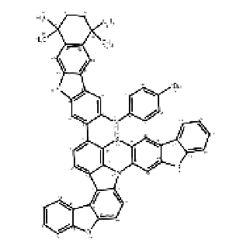 CC(C)(C)c1ccc(Nc2cc3c(cc2-c2ccc4c5c6c(ccc5n5c4c2Bc2cc4c(cc2-5)oc2ccccc24)oc2ccccc26)sc2cc4c(cc23)C(C)(C)CCC4(C)C)cc1